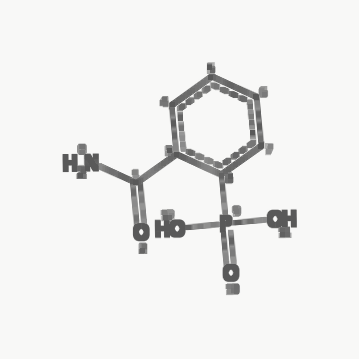 NC(=O)c1ccccc1P(=O)(O)O